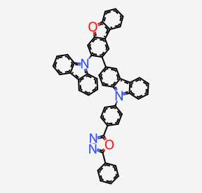 c1ccc(-c2nnc(-c3ccc(-n4c5ccccc5c5cc(-c6cc7c(cc6-n6c8ccccc8c8ccccc86)oc6ccccc67)ccc54)cc3)o2)cc1